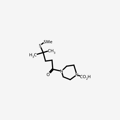 CSSC(C)(C)CCC(=O)N1CCN(C(=O)O)CC1